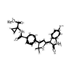 COC(=O)C1(NC(=O)c2ccc(C3=CC(=C4C(=O)Nc5cc(F)ccc54)OC3(C)C)cc2)CC1